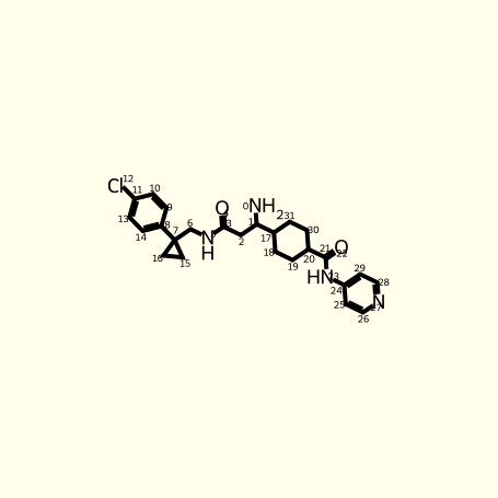 NC(CC(=O)NCC1(c2ccc(Cl)cc2)CC1)C1CCC(C(=O)Nc2ccncc2)CC1